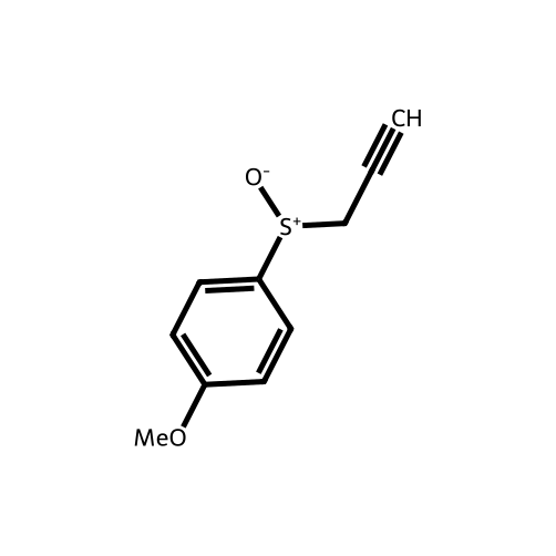 C#CC[S+]([O-])c1ccc(OC)cc1